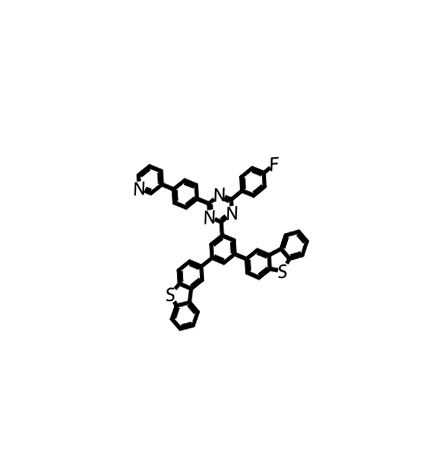 Fc1ccc(-c2nc(-c3ccc(-c4cccnc4)cc3)nc(-c3cc(-c4ccc5sc6ccccc6c5c4)cc(-c4ccc5sc6ccccc6c5c4)c3)n2)cc1